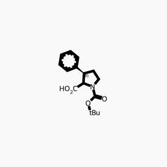 CC(C)(C)OC(=O)N1CC[C@H](c2ccccc2)C1C(=O)O